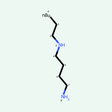 [CH2]CCCCCNCCCCN